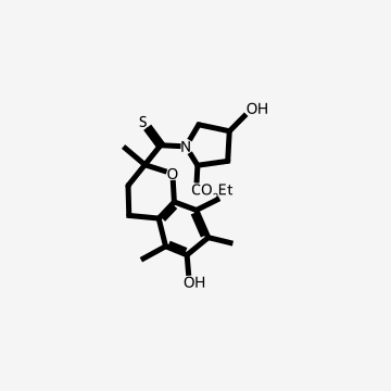 CCOC(=O)C1CC(O)CN1C(=S)C1(C)CCc2c(C)c(O)c(C)c(C)c2O1